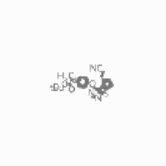 CN(C(=O)OC(C)(C)C)[C@H]1CC[C@H](Oc2ncnc3sc4c(c23)[C@@H](CCC#N)CC4)CC1